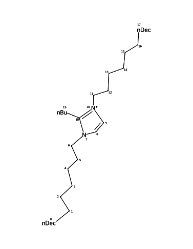 CCCCCCCCCCCCCCCCn1cc[n+](CCCCCCCCCCCCCCCC)c1CCCC